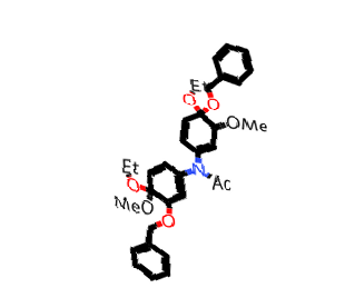 CCOC1(OC)C=CC(N(C(C)=O)C2=CC(OC)C(OCC)(OCc3ccccc3)C=C2)=CC1OCc1ccccc1